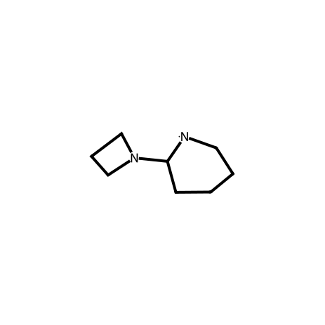 C1CCC(N2CCC2)[N]C1